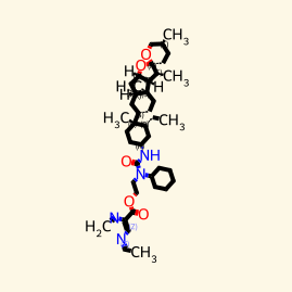 C=N/C(=C\N=C/C)C(=O)OCCN(C(=O)N[C@@H]1CC[C@](C)([C@H]2CC[C@@]3(C)[C@H](C2)C[C@@H]2O[C@]4(CC[C@H](C)CO4)[C@@H](C)[C@@H]23)[C@H](CC)C1)C1CCCCC1